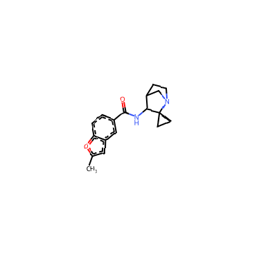 Cc1cc2cc(C(=O)NC3C4CCN(C4)C34CC4)ccc2o1